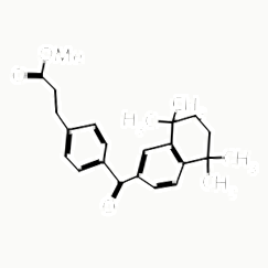 COC(=O)CCc1ccc(C(=O)c2ccc3c(c2)C(C)(C)CCC3(C)C)cc1